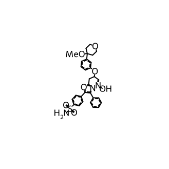 COC1(c2cccc(OC(C=NO)Cc3nc(-c4ccccc4)c(-c4ccc(S(N)(=O)=O)cc4)o3)c2)CCOCC1